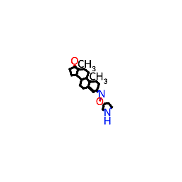 C[C@]12CCC3C(CCC4=CC(=NOC5CCNC5)CC[C@]43C)C1CCC2=O